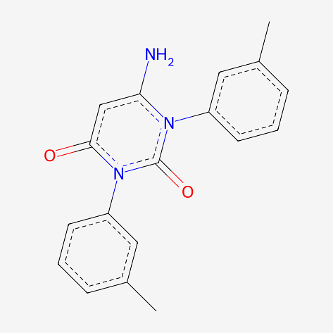 Cc1cccc(-n2c(N)cc(=O)n(-c3cccc(C)c3)c2=O)c1